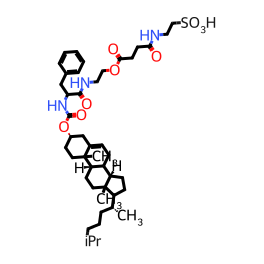 CC(C)CCC[C@@H](C)C1CC[C@H]2C3CC=C4C[C@@H](OC(=O)NC(Cc5ccccc5)C(=O)NCCOC(=O)CCC(=O)NCCS(=O)(=O)O)CCC4(C)[C@H]3CCC12C